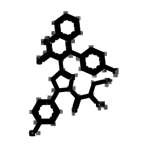 CC(C)CC(C)C(=O)N1N=C(c2c(-c3ccc(Cl)cc3)c3ccccc3[nH]c2=O)CC1c1ccc(Cl)cc1